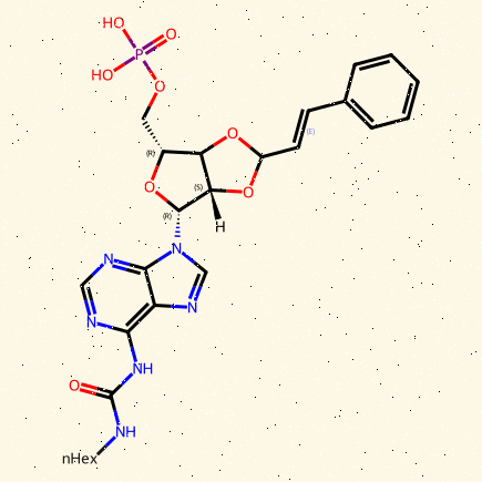 CCCCCCNC(=O)Nc1ncnc2c1ncn2[C@@H]1O[C@H](COP(=O)(O)O)C2OC(/C=C/c3ccccc3)O[C@@H]21